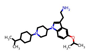 CC(C)Oc1ccc2c(c1)c(CCN)cn2C1CCN(C2CCC(C(C)C)CC2)CC1